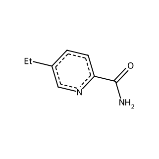 CCc1ccc(C(N)=O)nc1